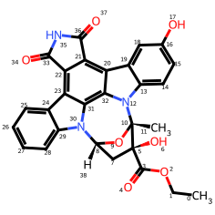 CCOC(=O)[C@]1(O)C[C@H]2O[C@]1(C)n1c3ccc(O)cc3c3c4c(c5c6ccccc6n2c5c31)C(=O)NC4=O